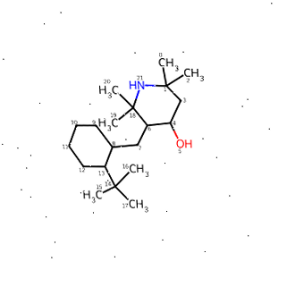 CC1(C)CC(O)C(CC2CCCCC2C(C)(C)C)C(C)(C)N1